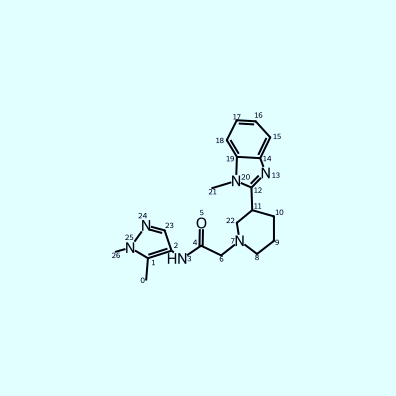 Cc1c(NC(=O)CN2CCCC(c3nc4ccccc4n3C)C2)cnn1C